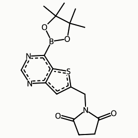 CC1(C)OB(c2ncnc3cc(CN4C(=O)CCC4=O)sc23)OC1(C)C